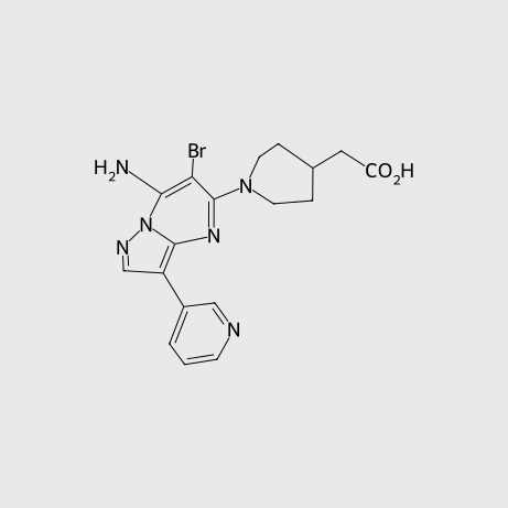 Nc1c(Br)c(N2CCC(CC(=O)O)CC2)nc2c(-c3cccnc3)cnn12